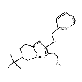 CC(C)(C)C1CCc2nc(SCc3ccccc3)c(CO)cc2C1